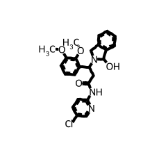 COc1cccc(C(CC(=O)Nc2ccc(Cl)cn2)N2Cc3ccccc3C2O)c1OC